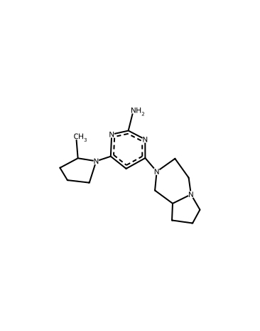 CC1CCCN1c1cc(N2CCN3CCCC3C2)nc(N)n1